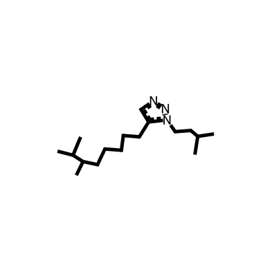 CC(C)CCn1nncc1CCCCCC(C)C(C)C